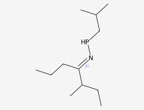 CCC/C(=N\PCC(C)C)C(C)CC